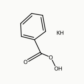 O=C(OO)c1ccccc1.[KH]